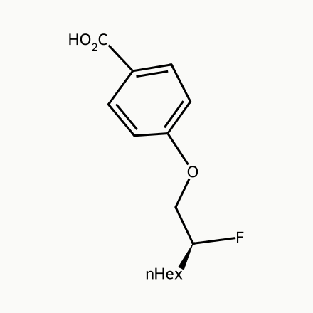 CCCCCC[C@H](F)COc1ccc(C(=O)O)cc1